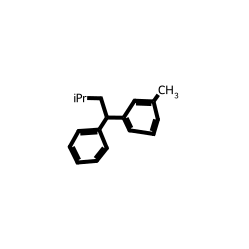 Cc1cccc(C(CC(C)C)c2ccccc2)c1